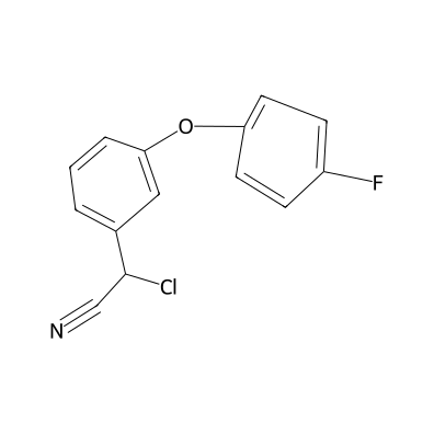 N#CC(Cl)c1cccc(Oc2ccc(F)cc2)c1